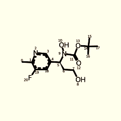 Cc1ncc([C@H](CCO)N(O)C(=O)OC(C)(C)C)cc1F